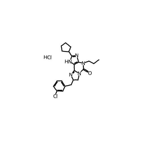 CCCN1C(=O)N2CC(Cc3cccc(Cl)c3)N=C2c2[nH]c(C3CCCC3)nc21.Cl